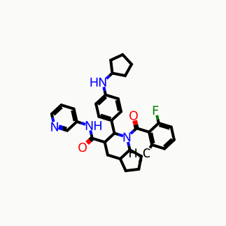 Cc1cccc(F)c1C(=O)N1C2CCCC2CC(C(=O)Nc2cccnc2)C1c1ccc(NC2CCCC2)cc1